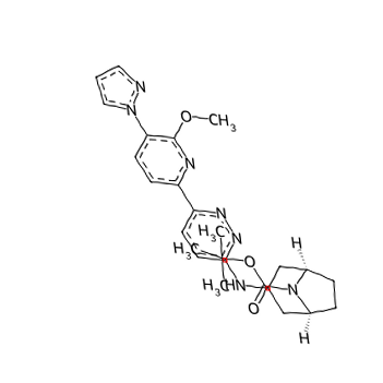 COc1nc(-c2ccc(NC3C[C@H]4CC[C@@H](C3)N4C(=O)OC(C)(C)C)nn2)ccc1-n1cccn1